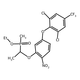 CCOP(C)(=O)C(C)Oc1cc(Oc2c(Cl)cc(C(F)(F)F)cc2Cl)ccc1[N+](=O)[O-]